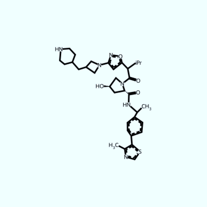 Cc1ncsc1-c1ccc(C(C)NC(=O)[C@@H]2C[C@@H](O)CN2C(=O)C(c2cc(N3CC(CC4CCNCC4)C3)no2)C(C)C)cc1